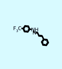 FC(F)(F)c1ccc(NN=CC=Cc2ccccc2)cc1